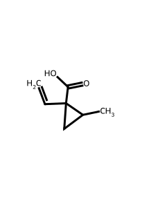 C=CC1(C(=O)O)CC1C